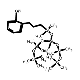 C[Si](C)(C)O[Si](C)(C)O[Si](C)(O[Si](C)(C)CCCc1ccccc1O)O[Si](C)(C)O[Si](C)(C)C